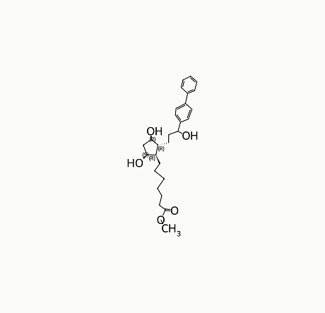 COC(=O)CCCCCC[C@@H]1[C@@H](CCC(O)c2ccc(-c3ccccc3)cc2)[C@H](O)C[C@@H]1O